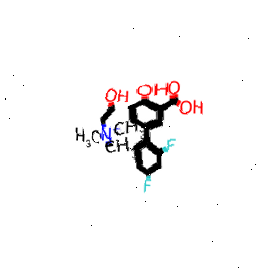 C[N+](C)(C)CCO.O=C(O)c1cc(-c2ccc(F)cc2F)ccc1O